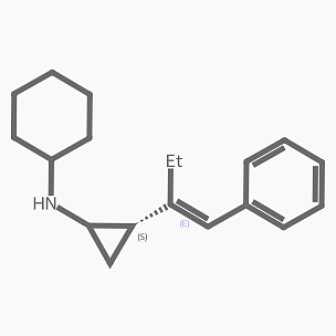 CC/C(=C\c1ccccc1)[C@@H]1CC1NC1CCCCC1